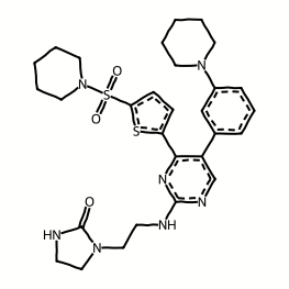 O=C1NCCN1CCNc1ncc(-c2cccc(N3CCCCC3)c2)c(-c2ccc(S(=O)(=O)N3CCCCC3)s2)n1